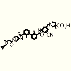 Cc1c(-c2nc3cc(CN4CC[C@@](C)(C(=O)O)C4)cc(C#N)c3o2)cccc1-c1cccc(-c2nc3c(s2)CN(C(=O)CN(C)CC2CC2)C3)c1C